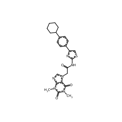 Cn1c(=O)c2c(ncn2CC(=O)Nc2nc(-c3ccc(C4CCCCC4)cc3)cs2)n(C)c1=O